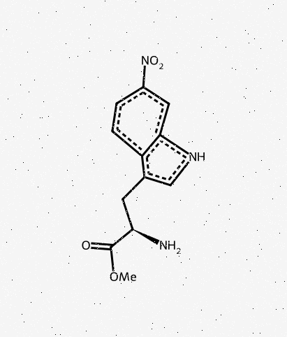 COC(=O)[C@H](N)Cc1c[nH]c2cc([N+](=O)[O-])ccc12